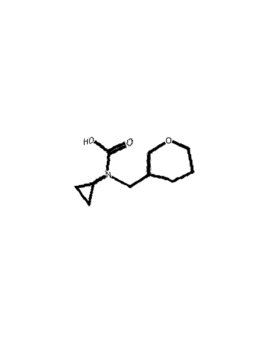 O=C(O)N(CC1CCCOC1)C1CC1